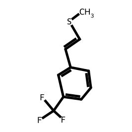 CSC=Cc1cccc(C(F)(F)F)c1